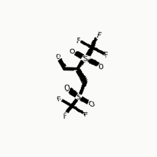 O=CC(=CS(=O)(=O)C(F)(F)F)S(=O)(=O)C(F)(F)F